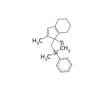 CC1=CC2=C(CCCC2)[C]1([Ti])C[Si](C)(C)c1ccccc1